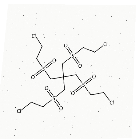 O=S(=O)(CCCl)CC(CS(=O)(=O)CCCl)(CS(=O)(=O)CCCl)CS(=O)(=O)CCCl